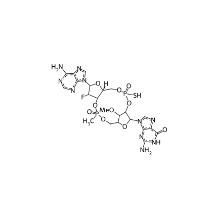 COC1C2COP(C)(=O)OC3C(F)C(n4cnc5c(N)ncnc54)O[C@@H]3COP(=O)(S)OC1C(n1cnc3c(=O)[nH]c(N)nc31)O2